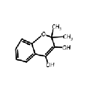 CC1(C)Oc2ccccc2C(O)=C1O